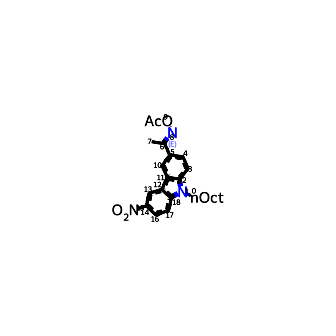 CCCCCCCCn1c2ccc(/C(C)=N/OC(C)=O)cc2c2cc([N+](=O)[O-])ccc21